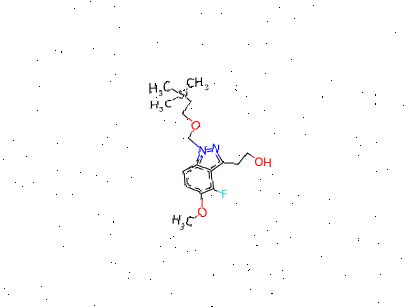 COc1ccc2c(c(CCO)nn2COCC[Si](C)(C)C)c1F